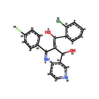 N=C(/C(=C(\O)c1ccccc1Cl)C(O)c1cccnc1)c1ccc(F)cc1